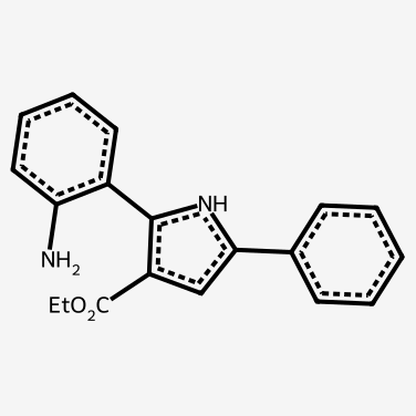 CCOC(=O)c1cc(-c2ccccc2)[nH]c1-c1ccccc1N